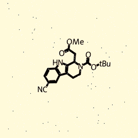 COC(=O)CC1c2[nH]c3ccc(C#N)cc3c2CCN1C(=O)OC(C)(C)C